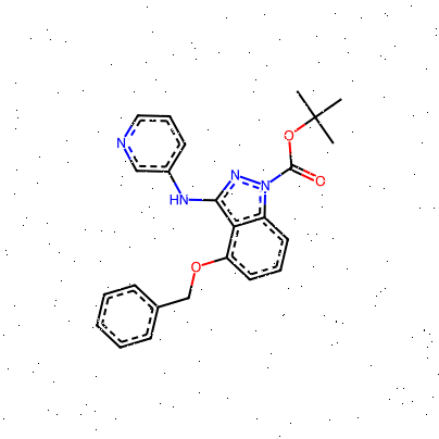 CC(C)(C)OC(=O)n1nc(Nc2cccnc2)c2c(OCc3ccccc3)cccc21